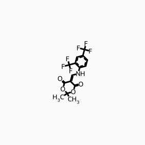 CC1(C)OC(=O)C(=CNc2ccc(C(F)(F)F)cc2C(F)(F)F)C(=O)O1